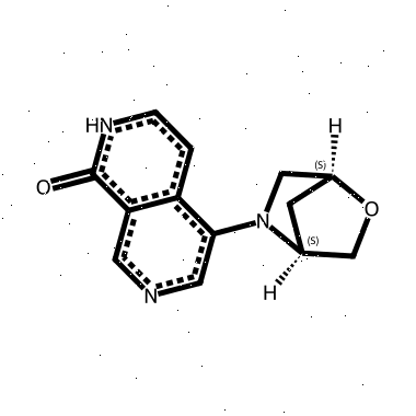 O=c1[nH]ccc2c(N3C[C@@H]4C[C@H]3CO4)cncc12